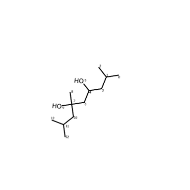 CC(C)CC(O)CC(C)(O)CC(C)C